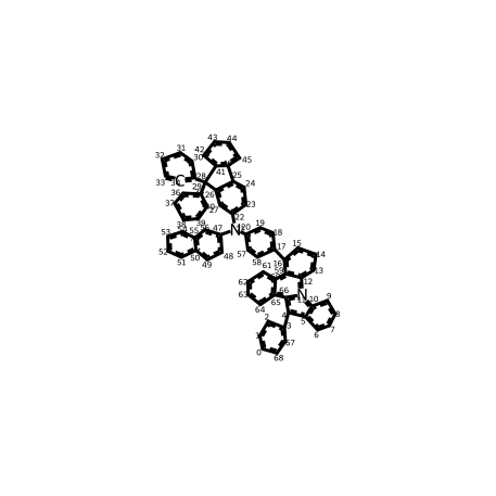 c1ccc(-c2c3ccccc3n3c4cccc(-c5ccc(N(c6ccc7c(c6)C(c6ccccc6)(c6ccccc6)c6ccccc6-7)c6ccc7ccccc7c6)cc5)c4c4ccccc4c23)cc1